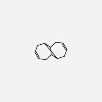 C1=CCC2C3CC=CCC2C3C1